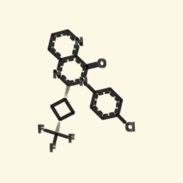 O=c1c2ncccc2nc([C@H]2C[C@@H](C(F)(F)F)C2)n1-c1ccc(Cl)cc1